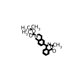 Cn1nc(-c2ccc3c(c2)CCN(C(=O)OC(C)(C)C)C3)c2ccccc2c1=O